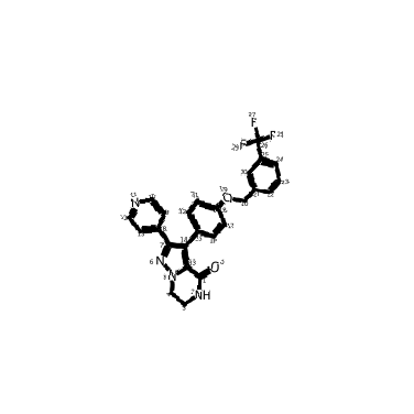 O=C1NCCn2nc(-c3ccncc3)c(-c3ccc(OCc4cccc(C(F)(F)F)c4)cc3)c21